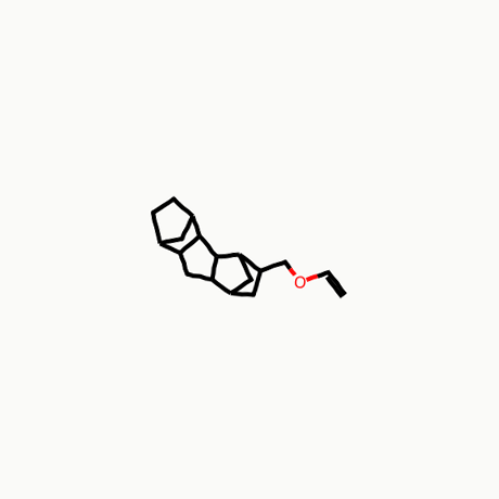 C=COCC1CC2CC1C1C2CC2C3CCC(C3)C21